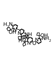 Nc1ccc(Oc2ccc(NNc3ccc(-c4ccc(N)c(C5(O)CCC5)n4)nc3C3(O)CCC3)c(C3(O)CCC3)n2)nc1C1(O)CCC1